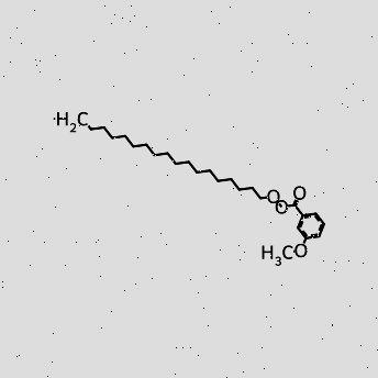 [CH2]CCCCCCCCCCCCCCCCCOOC(=O)c1cccc(OC)c1